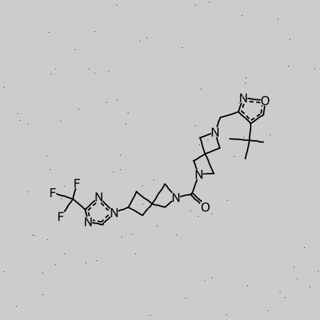 CC(C)(C)c1conc1CN1CC2(C1)CN(C(=O)N1CC3(CC(n4cnc(C(F)(F)F)n4)C3)C1)C2